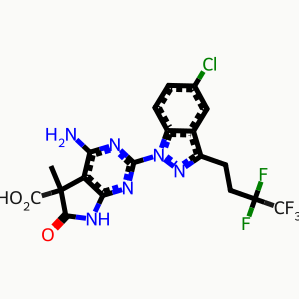 CC1(C(=O)O)C(=O)Nc2nc(-n3nc(CCC(F)(F)C(F)(F)F)c4cc(Cl)ccc43)nc(N)c21